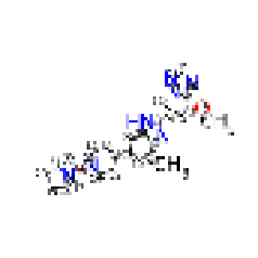 COc1cc(-c2nc3c(C)cc(C4CCN(C5CC6CCC(C5)N6C5CC5)CC4)cc3[nH]2)cn2ncnc12